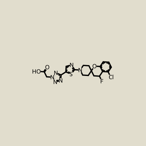 O=C(O)Cn1nnc(-c2cnc(N3CCC4(CC3)CC(F)c3c(Cl)cccc3O4)s2)n1